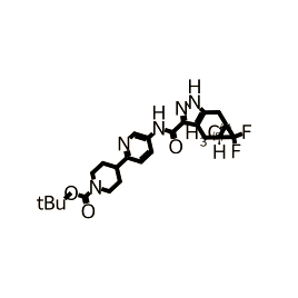 CC(C)(C)OC(=O)N1CCC(c2ccc(NC(=O)c3n[nH]c4c3C[C@@H]3C(F)(F)[C@]3(C)C4)cn2)CC1